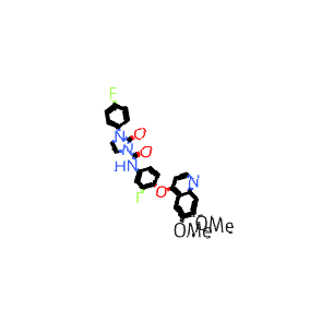 COc1cc2nccc(Oc3ccc(NC(=O)N4CCN(c5ccc(F)cc5)C4=O)cc3F)c2cc1OC